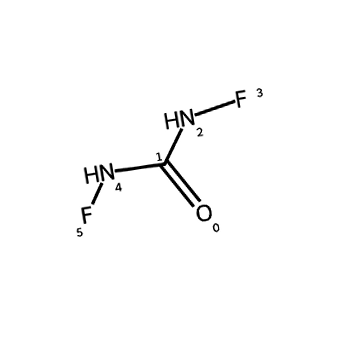 O=C(NF)NF